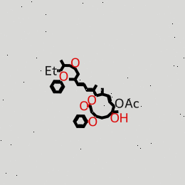 CCC(Oc1ccccc1)C(C)C1OC1CC(C)/C=C/C=C(\C)C1OC(=O)CC(Oc2ccccc2)CCC(C)(O)C(OC(C)=O)/C=C/C1C